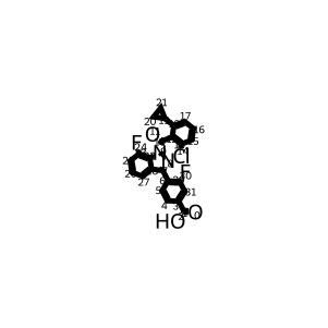 O=C(O)c1ccc(-c2nn(C(=O)c3c(Cl)cccc3C3CC3)c3c(F)cccc23)c(F)c1